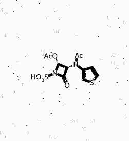 CC(=O)O[C@@H]1[C@H](N(C(C)=O)c2ccsc2)C(=O)N1S(=O)(=O)O